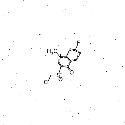 Cn1cc([S+]([O-])CCl)c(=O)c2ccc(F)cc21